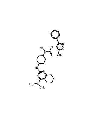 Cc1onc(-c2ccccc2)c1NC(=O)N(S)C1CCC(Nc2nc3c(c(N(C)C)n2)CCCC3)CC1